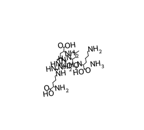 CC(C)CC(N)C(=O)O.N.N=C(N)NCCCC(N)C(=O)O.NC(Cc1c[nH]cn1)C(=O)O.NCCCCC(N)C(=O)O